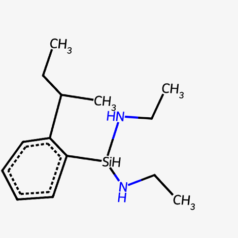 CCN[SiH](NCC)c1ccccc1C(C)CC